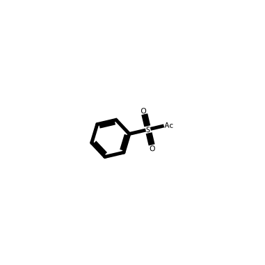 CC(=O)S(=O)(=O)c1ccccc1